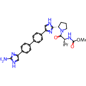 COC(=O)N[C@H](C(=O)N1CCC[C@H]1c1nc(-c2ccc(-c3ccc(-c4c[nH]c(N)n4)cc3)cc2)c[nH]1)C(C)C